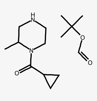 CC(C)(C)OC=O.CC1CNCCN1C(=O)C1CC1